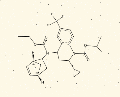 CCOC(=O)N(C1CC(C2CC2)N(C(=O)OC(C)C)c2ccc(C(F)(F)F)cc21)C1C[C@@H]2C=C[C@H]1C2